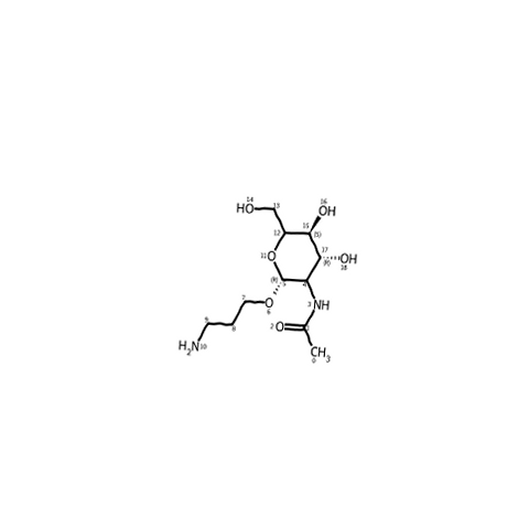 CC(=O)NC1[C@H](OCCCN)OC(CO)[C@@H](O)[C@@H]1O